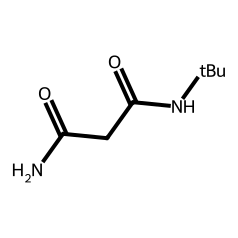 CC(C)(C)NC(=O)CC(N)=O